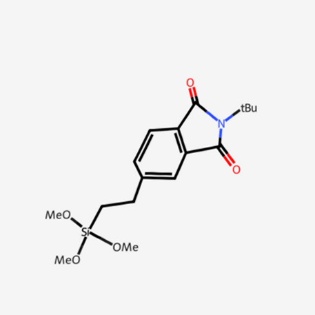 CO[Si](CCc1ccc2c(c1)C(=O)N(C(C)(C)C)C2=O)(OC)OC